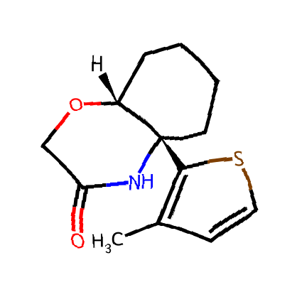 Cc1ccsc1[C@]12CCCC[C@H]1OCC(=O)N2